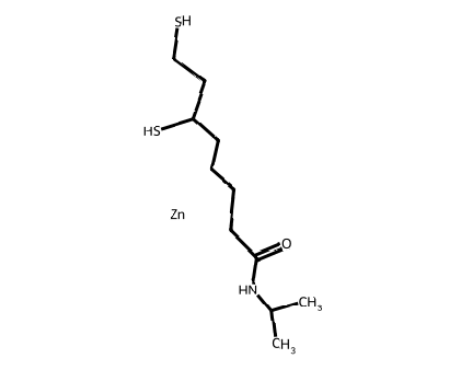 CC(C)NC(=O)CCCCC(S)CCS.[Zn]